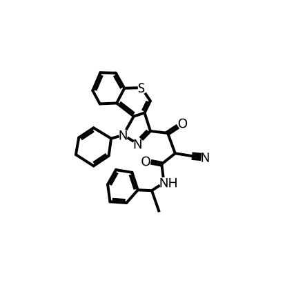 CC(NC(=O)C(C#N)C(=O)c1nn(C2C=CCC=C2)c2c1=CSC1=CC=CCC=21)c1ccccc1